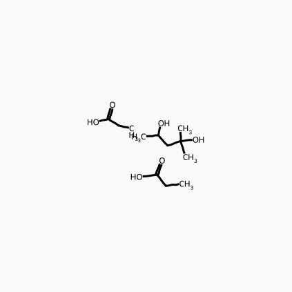 CC(O)CC(C)(C)O.CCC(=O)O.CCC(=O)O